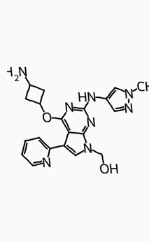 Cn1cc(Nc2nc(OC3CC(N)C3)c3c(-c4ccccn4)cn(CO)c3n2)cn1